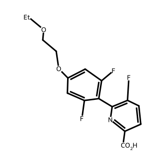 CCOCCOc1cc(F)c(-c2nc(C(=O)O)ccc2F)c(F)c1